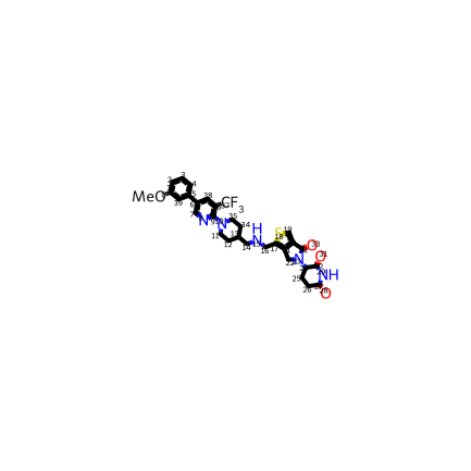 COc1cccc(-c2cnc(N3CCC(CNCc4scc5c4CN(C4CCC(=O)NC4=O)C5=O)CC3)c(C(F)(F)F)c2)c1